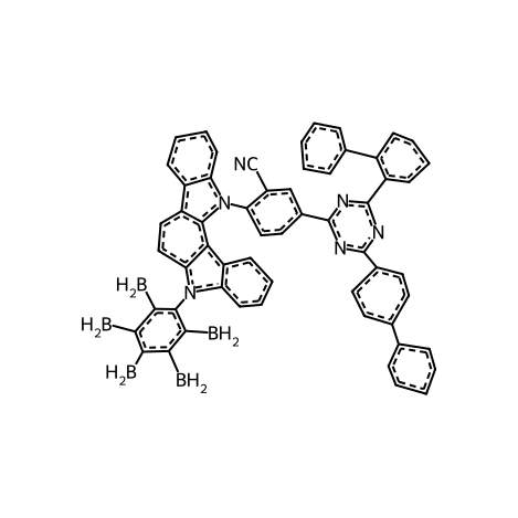 Bc1c(B)c(B)c(-n2c3ccccc3c3c2ccc2c4ccccc4n(-c4ccc(-c5nc(-c6ccc(-c7ccccc7)cc6)nc(-c6ccccc6-c6ccccc6)n5)cc4C#N)c23)c(B)c1B